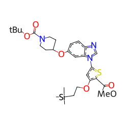 COC(=O)c1sc(-n2cnc3ccc(OC4CCN(C(=O)OC(C)(C)C)CC4)cc32)cc1OCC[Si](C)(C)C